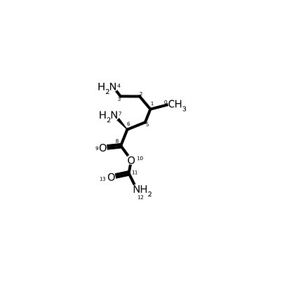 CC(CCN)C[C@H](N)C(=O)OC(N)=O